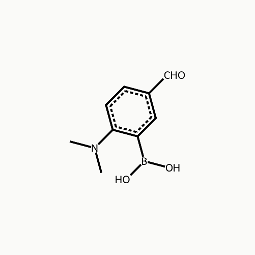 CN(C)c1ccc(C=O)cc1B(O)O